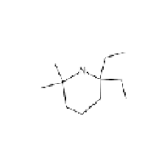 CCC1(CC)CCCC(C)(C)[N]1